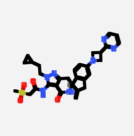 C=C1Cc2cc(N3CC(c4ncccn4)C3)ccc2[C@]12Cc1nn(CCC3CC3)c(NC(=O)CS(C)(=O)=O)c1C(=O)N2